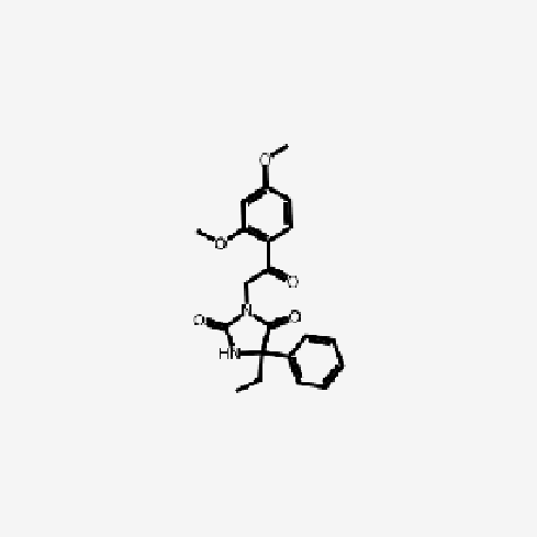 CCC1(c2ccccc2)NC(=O)N(CC(=O)c2ccc(OC)cc2OC)C1=O